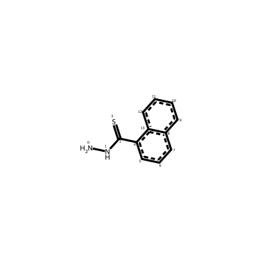 NNC(=S)c1cccc2ccccc12